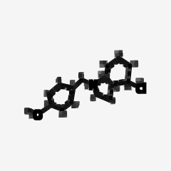 COc1ccc(Cn2ccc3c(Cl)cccc32)cc1